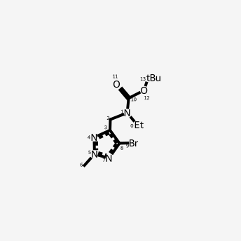 CCN(Cc1nn(C)nc1Br)C(=O)OC(C)(C)C